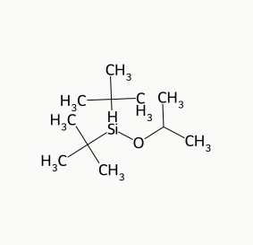 CC(C)O[SiH](C(C)(C)C)C(C)(C)C